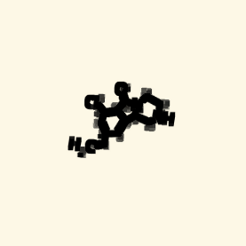 C=Cc1cc(Cl)c2c(c1)C1CNCCN1C2=O